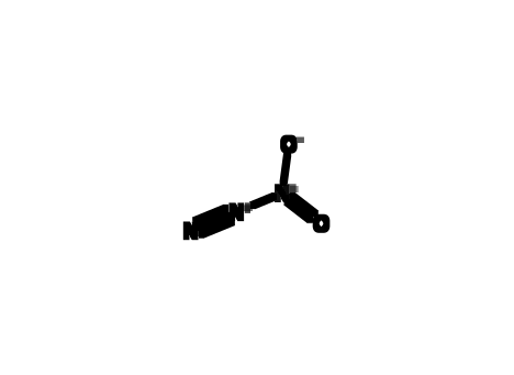 N#[N+][N+](=O)[O-]